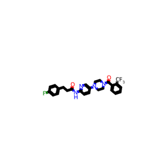 O=C(CCc1ccc(F)cc1)Nc1ccc(N2CCN(C(=O)c3ccccc3C(F)(F)F)CC2)cn1